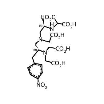 C[C@H](CN(CC(=O)O)C[C@@H](Cc1ccc([N+](=O)[O-])cc1)N(CC(=O)O)CC(=O)O)NC(C(=O)O)C(=O)O